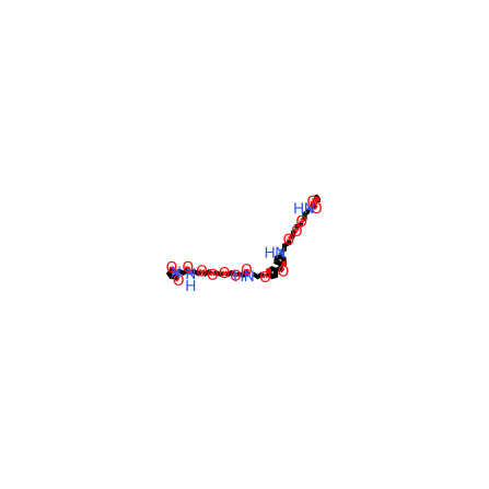 CC(C)(C)OC(=O)NCCCOCCOCCOCCCNc1ccc(C(=O)c2ccc(OCCCNC(=O)CCOCCOCCOCCOCCNC(=O)CCN3C(=O)C=CC3=O)cc2)cc1